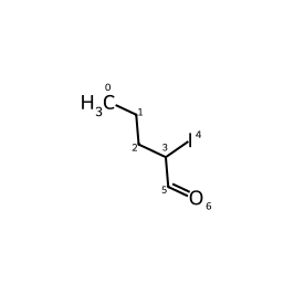 CCCC(I)C=O